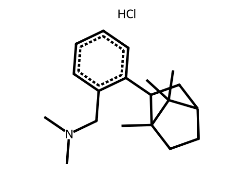 CN(C)Cc1ccccc1C1CC2CCC1(C)C2(C)C.Cl